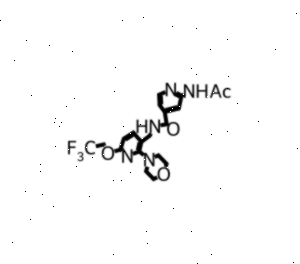 CC(=O)Nc1cc(C(=O)NCc2ccc(OCC(F)(F)F)nc2N2CCOCC2)ccn1